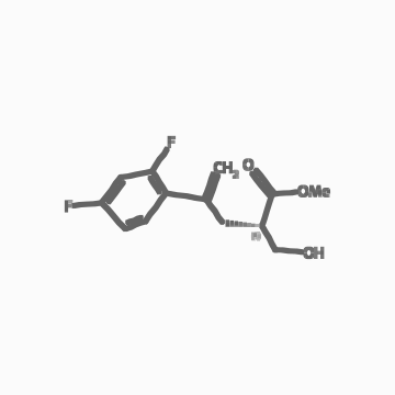 C=C(C[C@@H](CO)C(=O)OC)c1ccc(F)cc1F